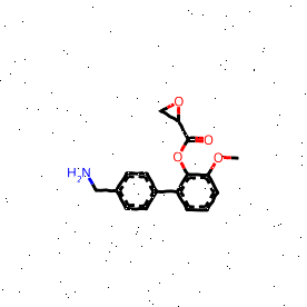 COc1cccc(-c2ccc(CN)cc2)c1OC(=O)C1CO1